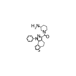 N[C@H]1CCCN(C(=O)c2nn(-c3ccccc3)c3c2CCc2sccc2-3)C1